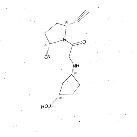 C#C[C@H]1CC[C@@H](C#N)N1C(=O)CN[C@@H]1CC[C@H](C(=O)O)C1